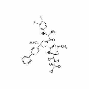 C=C[C@@H]1C[C@]1(NC(=O)[C@@H]1C[C@@](OC)(c2ccc(-c3ccccc3)cc2)CN1C(=O)C(Nc1ccc(F)c(F)c1)C(C)(C)C)C(=O)NS(=O)(=O)C1CC1